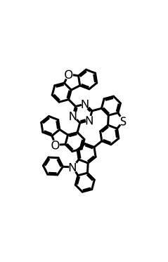 c1ccc(-n2c3ccccc3c3cc(-c4ccc5sc6cccc(-c7nc(-c8cccc9oc%10ccccc%10c89)nc(-c8cccc9oc%10ccccc%10c89)n7)c6c5c4)ccc32)cc1